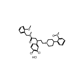 COc1ccccc1CN(C)C(=O)CC(CCN1CCC(c2ccccc2[S+](C)[O-])CC1)c1ccc(Cl)c(Cl)c1.Cl